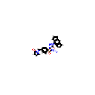 NS(=O)(=NC(=O)Nc1c2c(cc3c1CCC3)CCC2)c1ccc(CN2CCCC2=O)cc1